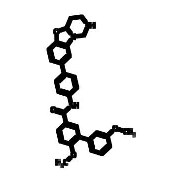 COc1cccc(-c2cc(C(=O)Nc3ccc(-c4ccc5c(c4)N4CNCCC4O5)cc3)ccc2OC)c1